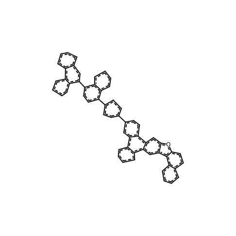 c1ccc2c(c1)cc(-c1ccc(-c3ccc(-c4ccc5c(c4)c4ccccc4c4cc6c(cc54)oc4ccc5ccccc5c46)cc3)c3ccccc13)c1ccccc12